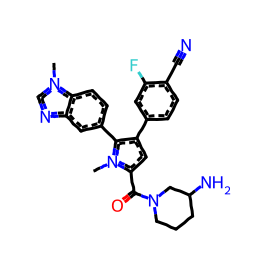 Cn1c(C(=O)N2CCCC(N)C2)cc(-c2ccc(C#N)c(F)c2)c1-c1ccc2c(c1)ncn2C